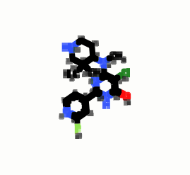 CN(c1nc(-c2ccnc(F)c2)[nH]c(=O)c1Cl)C1CCNCC1(C)C